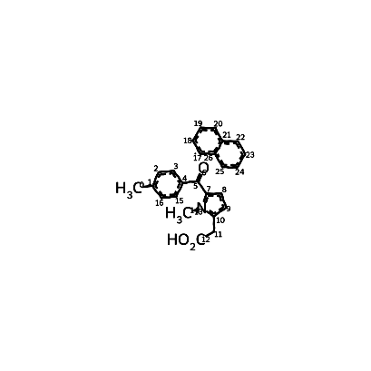 Cc1ccc(C(=O)c2ccc(CC(=O)O)n2C)cc1.[c]1cccc2ccccc12